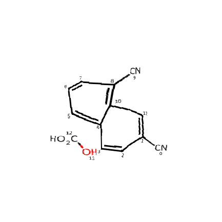 N#Cc1ccc2cccc(C#N)c2c1.O=C(O)O